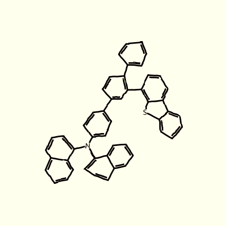 c1ccc(-c2ccc(-c3ccc(N(c4cccc5ccccc45)c4cccc5ccccc45)cc3)cc2-c2cccc3c2sc2ccccc23)cc1